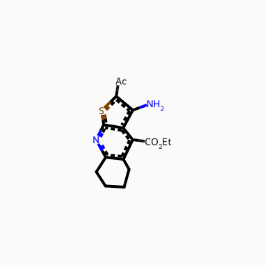 CCOC(=O)c1c2c(nc3sc(C(C)=O)c(N)c13)CCCC2